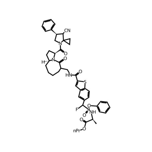 CCCOC(=O)[C@H](C)NP(=O)(Oc1ccccc1)C(F)c1ccc2sc(C(=O)NCC3CCCC[C@H]4CC[C@@H](C(=O)N5C[C@@H](c6ccccc6)C(C#N)C56CC6)N4C3=O)cc2c1